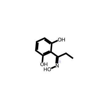 CC/C(=N/O)c1c(O)cccc1O